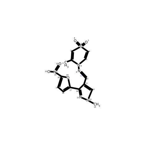 CC1=CS(=O)(=O)C=CN1/N=C/c1cn(C)nc1-c1ccc([N+](=O)[O-])o1